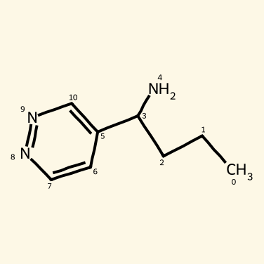 CCCC(N)c1ccnnc1